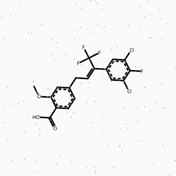 COc1cc(CC=C(c2cc(Cl)c(F)c(Cl)c2)C(F)(F)F)ccc1C(=O)O